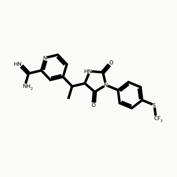 CC(c1ccnc(C(=N)N)c1)C1NC(=O)N(c2ccc(SC(F)(F)F)cc2)C1=O